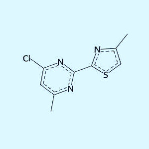 Cc1cc(Cl)nc(-c2nc(C)cs2)n1